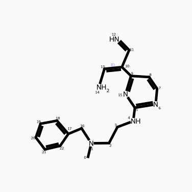 CN(CCNc1nccc(/C(C=N)=C\N)n1)Cc1ccccc1